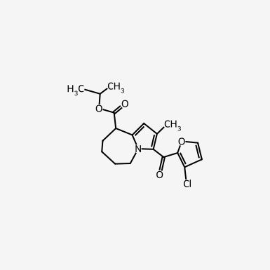 Cc1cc2n(c1C(=O)c1occc1Cl)CCCCC2C(=O)OC(C)C